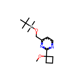 COC1(c2nccc(CO[Si](C)(C)C(C)(C)C)n2)CCC1